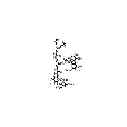 CO[C@H]1OC(CO)C(O[C@H]2OC(CNC(=S)NCCN(CCNC(=S)NCCN(CCNC(C)=S)CCNC(C)=S)CCNC(=S)NCC3O[C@H](OC4C(CO)O[C@H](OC)C(O)[C@H]4O)C(O)[C@@H](O)C3C)C(C)[C@H](O)C2O)[C@H](O)C1O